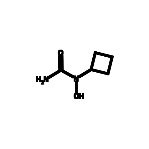 NC(=O)N(O)C1CCC1